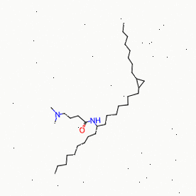 CCCCCCCCCC(CCCCCCCC1CC1CCCCCCCC)NC(=O)CCCN(C)C